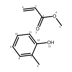 C=CC(=O)OC.Cc1ccccc1O